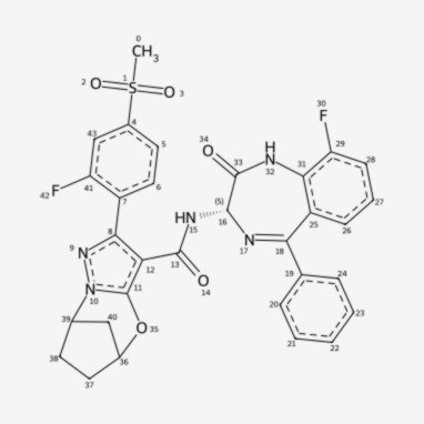 CS(=O)(=O)c1ccc(-c2nn3c(c2C(=O)N[C@H]2N=C(c4ccccc4)c4cccc(F)c4NC2=O)OC2CCC3C2)c(F)c1